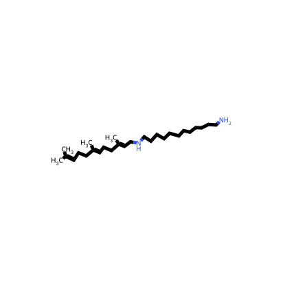 CC(C)=CCC/C(C)=C/CC/C(C)=C/CNCCCCCCCCCCCCN